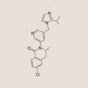 CC(C)c1nccn1Cc1cncc(N2C(=O)c3ccc(Cl)cc3CC2C)c1